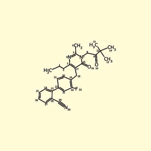 CCCc1nc(C)n(CC(=O)C(C)(C)C)c(=O)c1Cc1ccc(-c2ccccc2C#N)cc1F